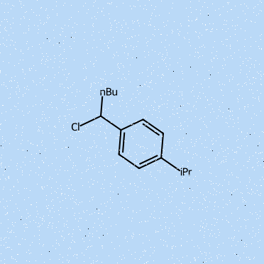 CCCCC(Cl)c1ccc(C(C)C)cc1